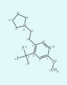 COc1cc(C(F)(F)F)c(CCN2CCCC2)cn1